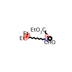 CCOC(=O)CCCOc1ccccc1N(C=O)CCCCCCCCCCP(=O)(OCC)OCC